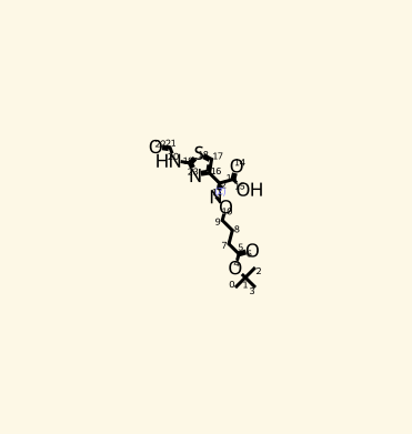 CC(C)(C)OC(=O)CCCO/N=C(\C(=O)O)c1csc(NC=O)n1